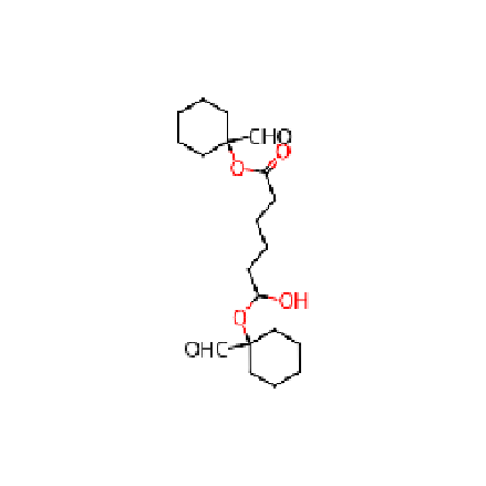 O=CC1(OC(=O)CCCCC(O)OC2(C=O)CCCCC2)CCCCC1